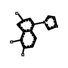 Clc1cc(-n2ccnc2)c2ccc(Cl)c(Cl)c2c1